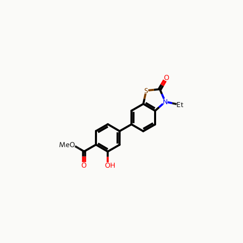 CCn1c(=O)sc2cc(-c3ccc(C(=O)OC)c(O)c3)ccc21